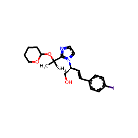 CC([SiH3])(OC1CCCCO1)c1nccn1[C@@H](/C=C/c1ccc(I)cc1)CO